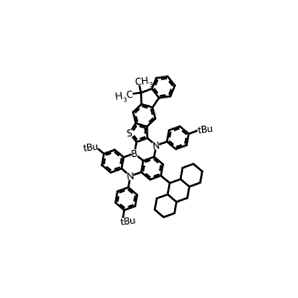 CC(C)(C)c1ccc(N2c3ccc(C(C)(C)C)cc3B3c4sc5cc6c(cc5c4N(c4ccc(C(C)(C)C)cc4)c4cc(C5C7CCCCC7CC7CCCCC75)cc2c43)-c2ccccc2C6(C)C)cc1